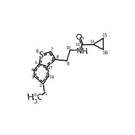 CCc1ccc2scc(CCNC(=O)C3CC3)c2c1